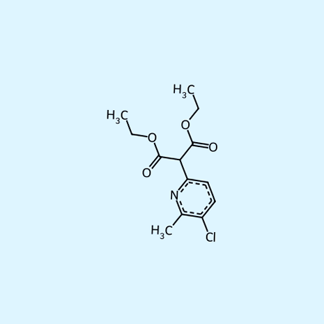 CCOC(=O)C(C(=O)OCC)c1ccc(Cl)c(C)n1